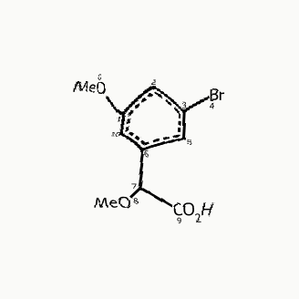 COc1cc(Br)cc(C(OC)C(=O)O)c1